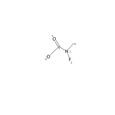 CN(F)C([O])=O